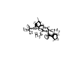 CCC(CC)C(=O)Nc1cccc(CN2C[C@@H](C)N(C(=O)C3CCCC3)[C@@H](C)C2)c1Cl